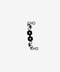 O=CO/C=C\Oc1ccc(-c2ccc(O/C=C\OC=O)cc2)cc1